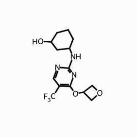 OC1CCCC(Nc2ncc(C(F)(F)F)c(OC3COC3)n2)C1